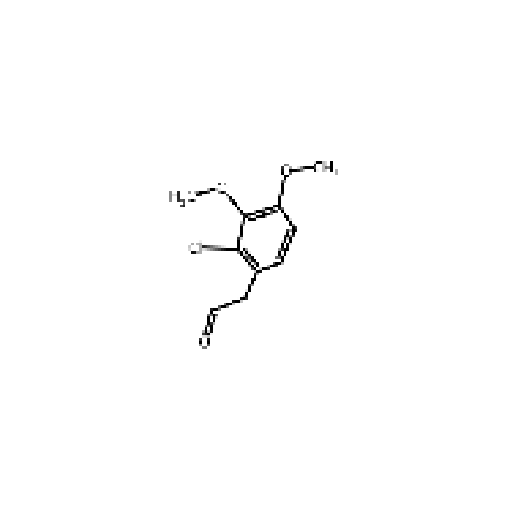 COc1ccc(CC=O)c(Cl)c1OC